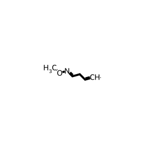 [CH]=CCC=NOC